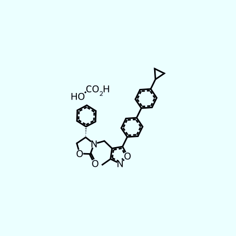 Cc1noc(-c2ccc(-c3ccc(C4CC4)cc3)cc2)c1CN1C(=O)OC[C@@H]1c1ccccc1.O=C(O)O